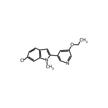 CCOc1cncc(-c2cc3ccc(Cl)cc3n2C)c1